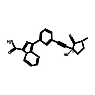 CN1CC[C@@](O)(C#Cc2cccc(-c3nc(C(N)=O)n4cccnc34)c2)C1=O